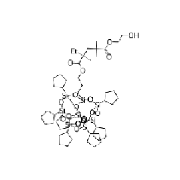 CCC(C)(CC(C)(C)C(=O)OCCO)C(=O)OCCC[Si]12O[Si]3(C4CCCC4)O[Si]4(C5CCCC5)O[Si](C5CCCC5)(O1)O[Si]1(C5CCCC5)O[Si](C5CCCC5)(O2)O[Si](C2CCCC2)(O3)O[Si](C2CCCC2)(O4)O1